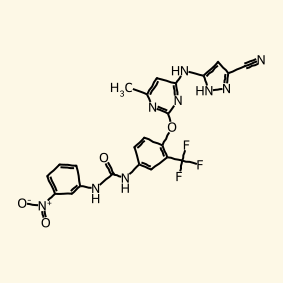 Cc1cc(Nc2cc(C#N)n[nH]2)nc(Oc2ccc(NC(=O)Nc3cccc([N+](=O)[O-])c3)cc2C(F)(F)F)n1